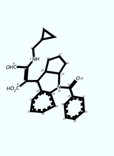 O=C/C(NCC1CC1)=C(\C(=O)O)C1c2ccccc2N(C(=O)c2ccccc2)C2CCCC12